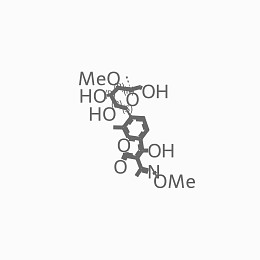 CON=C(C)c1c(O)c2ccc([C@@H]3O[C@](C)(CO)[C@H](OC)[C@H](O)[C@H]3O)c(C)c2oc1=O